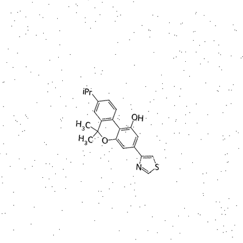 CC(C)c1ccc2c(c1)C(C)(C)Oc1cc(-c3cscn3)cc(O)c1-2